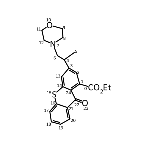 CCOC(=O)c1cc(C(C)CN2CCOCC2)cc2sc3ccccc3c(=O)c12